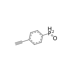 C#Cc1ccc([PH2]=O)cc1